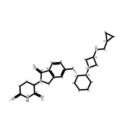 O=C1CCC(N2Cc3cc(C[C@H]4CCCC[C@@H]4N4CC(OCC5CC5)C4)ccc3C2=O)C(=O)N1